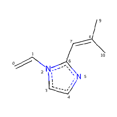 C=Cn1ccnc1C=C(C)C